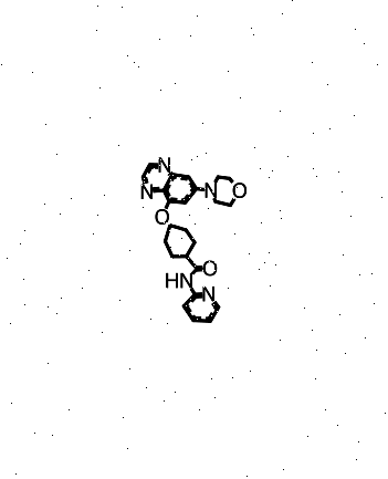 O=C(Nc1ccccn1)C1CCC(Oc2cc(N3CCOCC3)cc3nccnc23)CC1